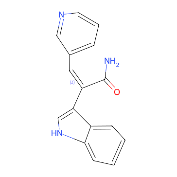 NC(=O)/C(=C\c1cccnc1)c1c[nH]c2ccccc12